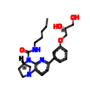 CCCCCNC(=O)N1c2nc(-c3cccc(OC[C@H](O)CO)c3)ccc2N2CC[C@H]1C2